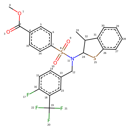 COC(=O)c1ccc(S(=O)(=O)N(Cc2ccc(F)c(C(F)(F)F)c2)C2Sc3ccccc3C2C)cc1